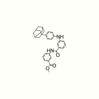 COC(=O)c1cccc(NC(=O)c2cccc(Nc3ccc(C45CC6CC(CC(C6)C4)C5)cc3)c2)c1